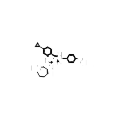 COc1ccc(-c2nc3c4ccc(C5CC5)cc4nc(N[C@@H]4CCCCNC4)n3n2)cc1